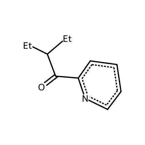 CCC(CC)C(=O)c1ccccn1